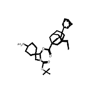 CCC12CC3CC(C(=O)OC4N(C(=O)OC(C)(C)C)CC45CCC(N)CC5)(C1)CC(c1ccccc1)(C3)C2